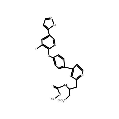 CCOC(=O)CC(Cc1cc(-c2ccc(Oc3ncc(-c4ccn[nH]4)cc3F)cc2)ccn1)NC(=O)OC(C)(C)C